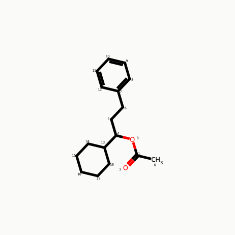 CC(=O)OC(CCc1ccccc1)C1CCCCC1